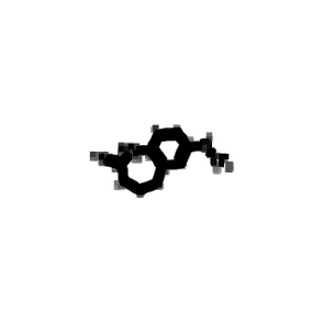 FC(F)(F)Oc1ccc2c(c1)CCCC(=S)N2